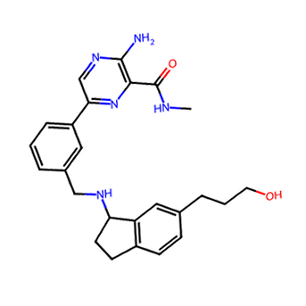 CNC(=O)c1nc(-c2cccc(CNC3CCc4ccc(CCCO)cc43)c2)cnc1N